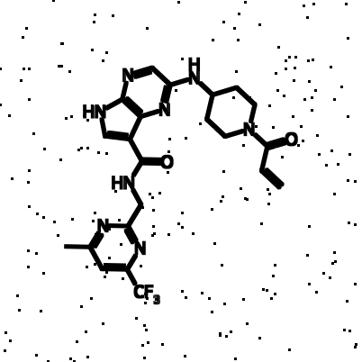 C=CC(=O)N1CCC(Nc2cnc3[nH]cc(C(=O)NCc4nc(C)cc(C(F)(F)F)n4)c3n2)CC1